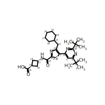 CC(C)(C)c1cc(-c2sc(C(=O)N[C@H]3C[C@H](C(=O)O)C3)nc2CC2CCCCC2)nc(C(C)(C)C)n1